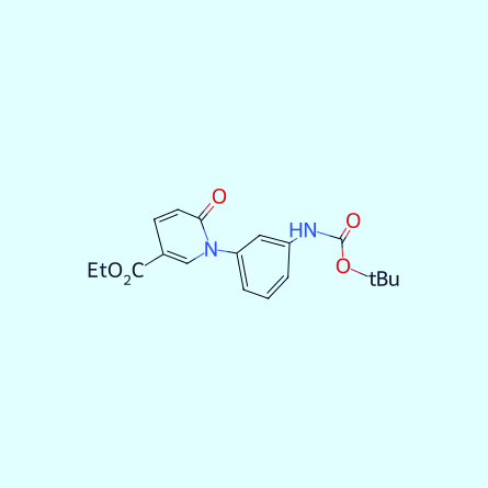 CCOC(=O)c1ccc(=O)n(-c2cccc(NC(=O)OC(C)(C)C)c2)c1